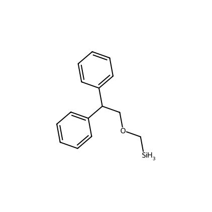 [SiH3]COCC(c1ccccc1)c1ccccc1